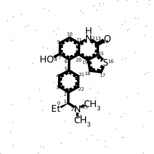 CC[C@@H](c1ccc(-c2c(O)ccc3[nH]c(=O)c4sccc4c23)cc1)N(C)C